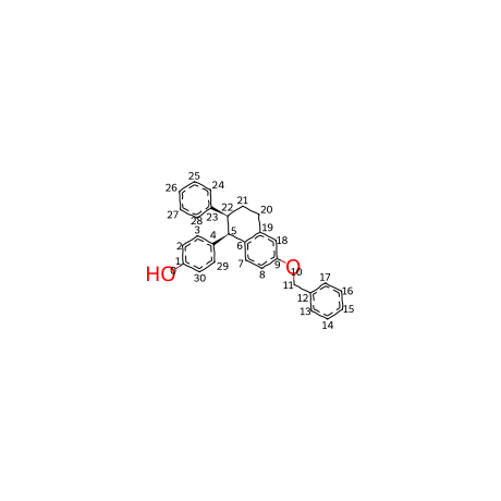 Oc1ccc([C@@H]2c3ccc(OCc4ccccc4)cc3CC[C@@H]2c2ccccc2)cc1